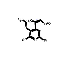 C/C(=C/C=O)c1cc(C(C)C)nc(C(C)C)c1OCC(F)(F)F